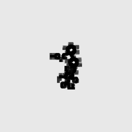 CCCCc1c(CF)n(C(=O)CC)c(=O)n1Cc1ccc(-c2ccccc2C(=O)O)cc1